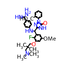 COc1cc(OCC(C)(C)CN(C)C)c(F)c(C(Nc2ccc(C(=N)N)cc2)c2nn(-c3ccccc3C(=O)O)c(=O)[nH]2)c1